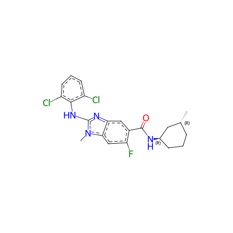 C[C@@H]1CCC[C@@H](NC(=O)c2cc3nc(Nc4c(Cl)cccc4Cl)n(C)c3cc2F)C1